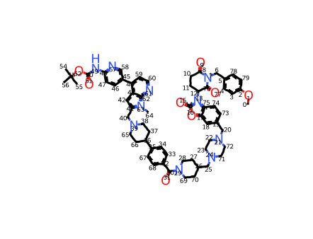 COc1ccc(CN2C(=O)CCC(n3c(=O)oc4cc(CN5CCN(CC6CCN(C(=O)c7ccc(C8CCN(Cc9cc%10c(-c%11ccc(NC(=O)OC(C)(C)C)nc%11)ccnc%10n9C)CC8)cc7)CC6)CC5)ccc43)C2=O)cc1